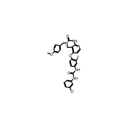 COc1ccc(CN2Cc3c(Oc4ccc(NC(=O)Nc5cccc(Cl)c5)cc4F)ccnc3NC2=O)cc1